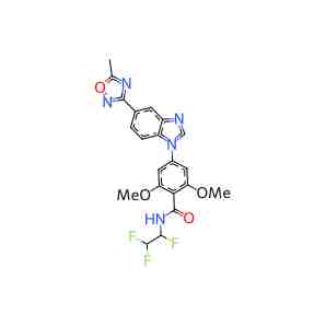 COc1cc(-n2cnc3cc(-c4noc(C)n4)ccc32)cc(OC)c1C(=O)NC(F)C(F)F